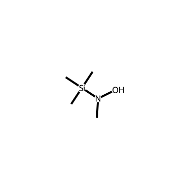 CN(O)[Si](C)(C)C